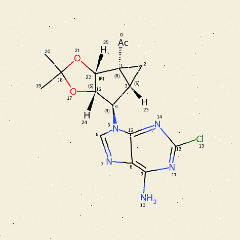 CC(=O)[C@]12C[C@@H]1[C@@H](n1cnc3c(N)nc(Cl)nc31)[C@@H]1OC(C)(C)O[C@@H]12